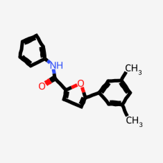 Cc1cc(C)cc(-c2ccc(C(=O)Nc3ccccc3)o2)c1